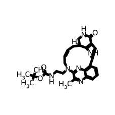 Cc1nc2cccc3c2nc1N(CCNC(=O)OC(C)(C)C)C/C=C\C[C@H]1CNC(=O)c2cc-3[nH]c21